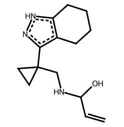 C=CC(O)NCC1(c2n[nH]c3c2CCCC3)CC1